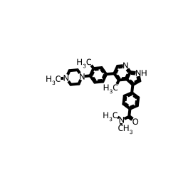 Cc1cc(-c2cnc3[nH]cc(-c4ccc(C(=O)N(C)C)cc4)c3c2C)ccc1N1CCN(C)CC1